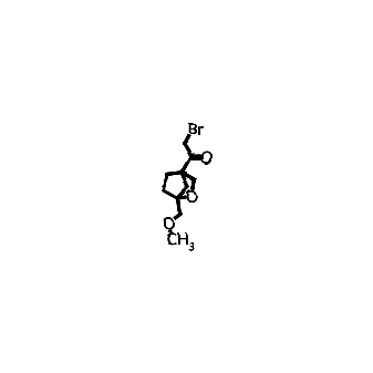 COCC12CCC(C(=O)CBr)(CO1)C2